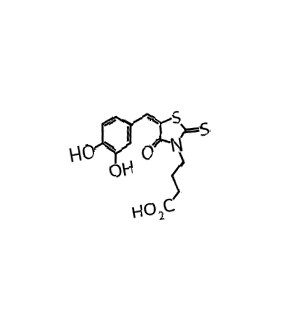 O=C(O)CCCN1C(=O)/C(=C\c2ccc(O)c(O)c2)SC1=S